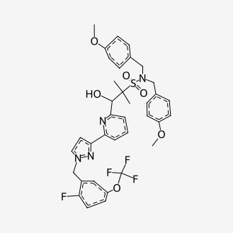 COc1ccc(CN(Cc2ccc(OC)cc2)S(=O)(=O)C(C)(C)C(O)c2cccc(-c3ccn(Cc4cc(OC(F)(F)F)ccc4F)n3)n2)cc1